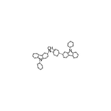 CN(c1ccc(-c2ccc3c4ccccc4n(-c4ccccc4)c3c2)cc1)c1ccc2c(c1)c1ccccc1n2-c1ccccc1